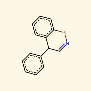 C1=NSc2ccccc2C1c1ccccc1